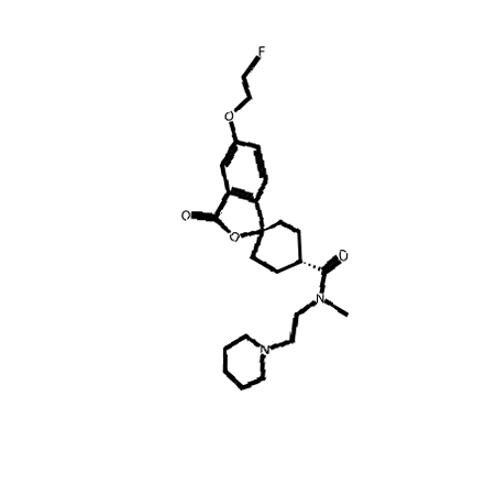 CN(CCN1CCCCC1)C(=O)[C@H]1CC[C@@]2(CC1)OC(=O)c1cc(OCCF)ccc12